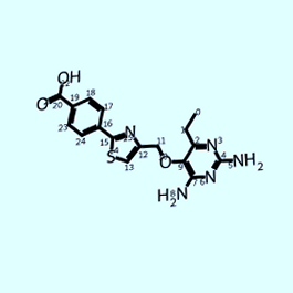 CCc1nc(N)nc(N)c1OCc1csc(-c2ccc(C(=O)O)cc2)n1